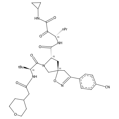 CCC[C@H](NC(=O)[C@@H]1C[C@]2(CC(c3ccc(C#N)cc3)=NO2)CN1C(=O)[C@@H](NC(=O)CC1CCOCC1)C(C)(C)C)C(=O)C(=O)NC1CC1